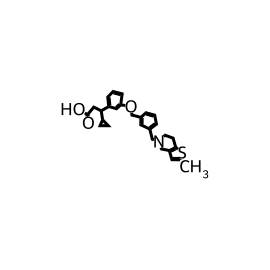 Cc1cc2c(s1)CCN(Cc1cccc(COc3cccc(C(CC(=O)O)C4CC4)c3)c1)C2